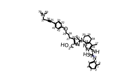 Cc1ccccc1/N=C(\S)Nc1nnc2c(c1C)CCCN2c1nc(C(=O)O)c(CCCOc2ccc(C#CCN(C)C)cc2)s1